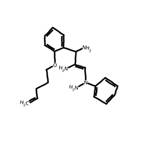 C=CCCCOc1ccccc1C(N)/C(N)=C/N(N)c1ccccc1